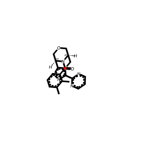 Cc1cccc(C(=O)N2[C@H]3COC[C@@H]2c2nnc(-c4ncccn4)n2C3)c1C